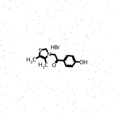 Br.CC1=C(C)N(CC(=O)c2ccc(O)cc2)CS1